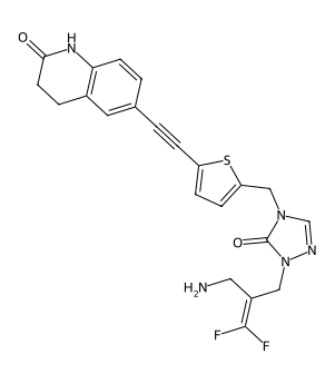 NCC(Cn1ncn(Cc2ccc(C#Cc3ccc4c(c3)CCC(=O)N4)s2)c1=O)=C(F)F